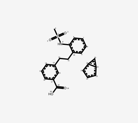 CS(=O)(=O)Nc1ccccc1CCc1cccc(C(=O)O)c1.c1cc2cc-2c1